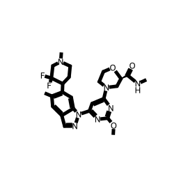 CNC(=O)[C@H]1CN(c2cc(-n3ncc4cc(C)c(C5CCN(C)CC5(F)F)cc43)nc(OC)n2)CCO1